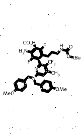 COc1ccc(CN(Cc2ccc(OC)cc2)c2cc(C)c(C(F)(F)F)c(-c3c(F)c(N)c(C(=O)O)c(F)c3CCCNC(=O)OC(C)(C)C)n2)cc1